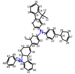 CC1CC(N(C2=CCC3C(=C2)C(C)(C)c2ccccc23)c2ccc(C3CC=CCC3)cc2)=CC=C1C1=CC2c3ccccc3N(c3ccccc3)C2CC1